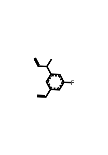 [CH2]C(C=C)c1cc(F)cc(C=C)c1